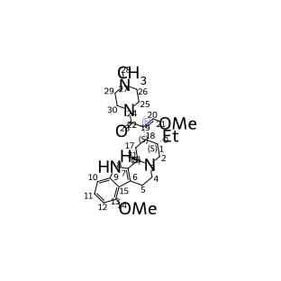 CC[C@@H]1CN2CCc3c([nH]c4cccc(OC)c34)[C@@H]2C[C@@H]1/C(=C\OC)C(=O)N1CCN(C)CC1